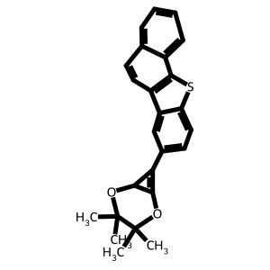 CC1(C)OC2=C(c3ccc4sc5c6ccccc6ccc5c4c3)C2OC1(C)C